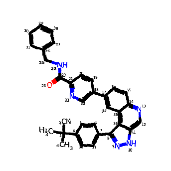 CC(C)(C#N)c1ccc(-c2n[nH]c3cnc4ccc(-c5ccc(C(=O)NCc6ccccc6)nc5)cc4c23)cc1